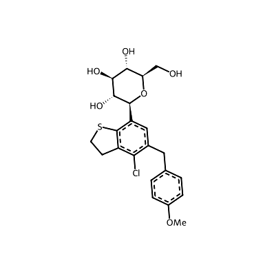 COc1ccc(Cc2cc([C@@H]3O[C@H](CO)[C@@H](O)[C@H](O)[C@H]3O)c3c(c2Cl)CCS3)cc1